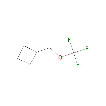 FC(F)(F)OC[C]1CCC1